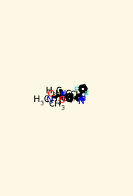 CCN(C[C@@]1(C)CC[C@H](c2cnnc(-c3c(F)cccc3F)c2)C1(C)C)C(=O)CCC(=O)N(C)C